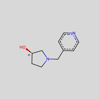 O[C@@H]1CCN(Cc2ccncc2)C1